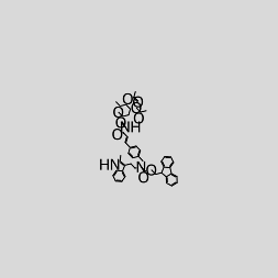 CC(=O)OC1CC(ONC(=O)/C=C/c2ccc(CN(CCc3c(C)[nH]c4ccccc34)C(=O)OCC3c4ccccc4-c4ccccc43)cc2)OC(C)C1OC(C)=O